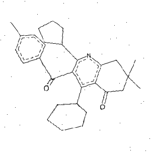 Cc1ccc(C(=O)c2c(C3CCCC3)nc3c(c2C2CCCCC2)C(=O)CC(C)(C)C3)cc1